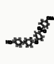 COc1ccc(S(=O)(=O)c2ccc(Oc3ccc(-c4ccc(O)cc4)cc3)cc2)cc1